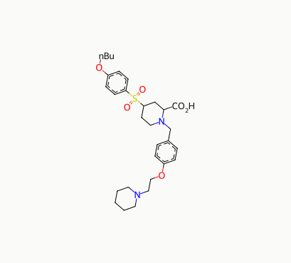 CCCCOc1ccc(S(=O)(=O)C2CCN(Cc3ccc(OCCN4CCCCC4)cc3)C(C(=O)O)C2)cc1